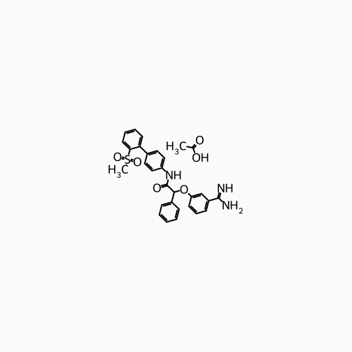 CC(=O)O.CS(=O)(=O)c1ccccc1-c1ccc(NC(=O)C(Oc2cccc(C(=N)N)c2)c2ccccc2)cc1